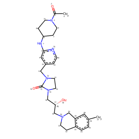 CC(=O)N1CCC(Nc2cc(CN3CCN(C[C@H](O)CN4CCc5ccc(C)cc5C4)C3=O)ccn2)CC1